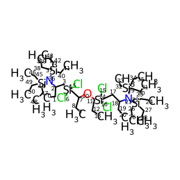 CCC(C[Si](Cl)(Cl)C(CC)OC(CC)[Si](Cl)(Cl)CC(CC)N([Si](CC)(CC)CC)[Si](CC)(CC)CC)N([Si](CC)(CC)CC)[Si](CC)(CC)CC